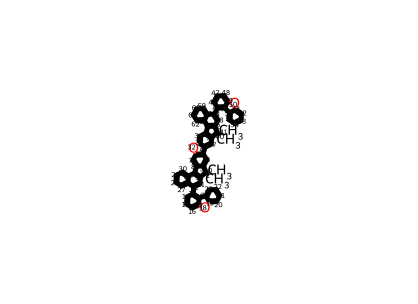 CC1(C)c2cc3c(cc2-c2c1cc(-c1cccc4oc5ccccc5c14)c1ccccc21)oc1cc2c(cc13)C(C)(C)c1cc(-c3cccc4oc5ccccc5c34)c3ccccc3c1-2